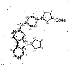 COC1CCN(c2cnc(Nc3ncc4c5ccncc5n(C5CCCC5)c4n3)cn2)C1